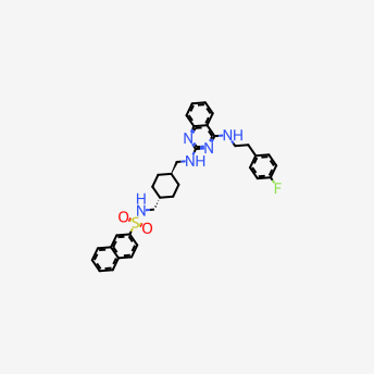 O=S(=O)(NC[C@H]1CC[C@H](CNc2nc(NCCc3ccc(F)cc3)c3ccccc3n2)CC1)c1ccc2ccccc2c1